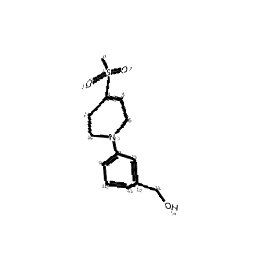 CS(=O)(=O)C1CCN(c2cccc(CO)c2)CC1